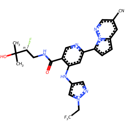 CC(C)(O)[C@H](F)CNC(=O)c1cnc(-c2ccc3cc(C#N)cnn23)cc1Nc1cnn(CC(F)(F)F)c1